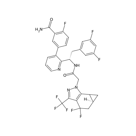 NC(=O)c1cc(-c2cccnc2[C@H](Cc2cc(F)cc(F)c2)NC(=O)Cn2nc(C(F)(F)F)c3c2C2C[C@H]2CC3(F)F)ccc1F